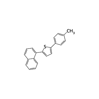 Cc1ccc(-c2ccc(-c3cccc4ccccc34)s2)cc1